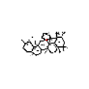 C[C@@H]1[C@H]2[C@H]3CC[C@@H]4[C@]5(C)[C@@H](CC[C@@]4(C)[C@]3(C)CC[C@@]2(C)CC[C@H]1C)C(C)(C)CC(S)C5(N)c1nccs1